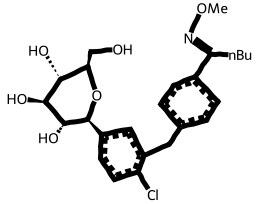 CCCCC(=NOC)c1ccc(Cc2cc([C@@H]3O[C@H](CO)[C@@H](O)[C@H](O)[C@H]3O)ccc2Cl)cc1